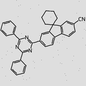 N#Cc1ccc2c(c1)C1(CCCCC1)c1cc(-c3nc(-c4ccccc4)nc(-c4ccccc4)n3)ccc1-2